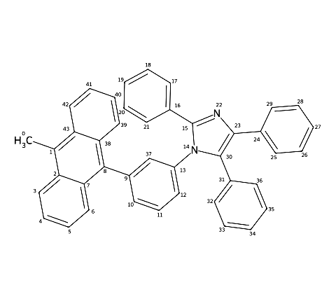 Cc1c2ccccc2c(-c2cccc(-n3c(-c4ccccc4)nc(-c4ccccc4)c3-c3ccccc3)c2)c2ccccc12